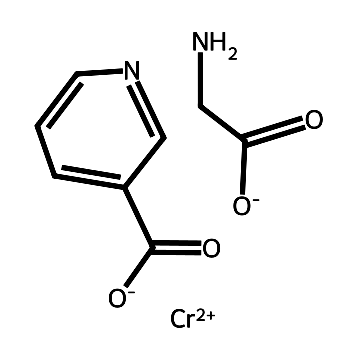 NCC(=O)[O-].O=C([O-])c1cccnc1.[Cr+2]